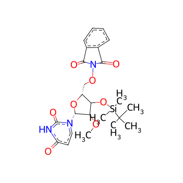 COC1C(O[Si](C)(C)C(C)(C)C)[C@@H](CON2C(=O)c3ccccc3C2=O)O[C@H]1n1ccc(=O)[nH]c1=O